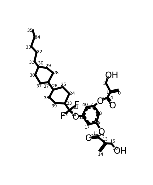 C=C(CO)C(=O)Oc1cc(OC(=O)C(=C)CO)cc(OC(F)(F)C2CCC(C3CCC(CCCCC)CC3)CC2)c1